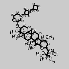 CCO[C@@H](C1C[C@@H](C)[C@H]2C(O1)[C@H](O)[C@@]1(C)C3CC[C@H]4C(C)(C)[C@@H](O[C@H]5CN(C6CN(C7CCC7)C6)CCO5)CC[C@@]45CC35CC[C@]21C)C(C)(C)O